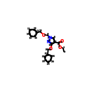 CCOC(=O)c1cn(COCc2ccccc2)nc1OCc1ccccc1